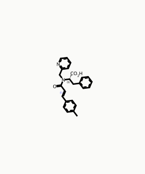 Cc1ccc(/C=C/C(=O)N(Cc2ccccn2)[C@@H](Cc2ccccc2)C(=O)O)cc1